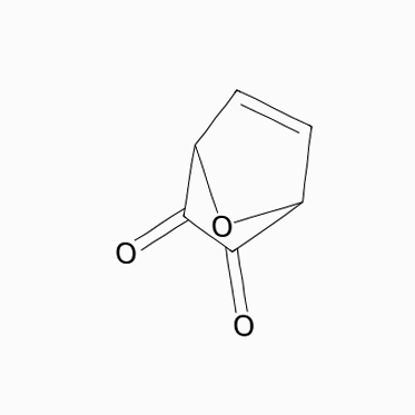 O=C1C(=O)C2C=CC1O2